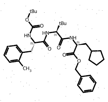 Cc1ccccc1C[C@H](NC(=O)OC(C)(C)C)C(=O)N[C@H](C(=O)N[C@@H](CC1CCCC1)C(=O)OCc1ccccc1)C(C)(C)C